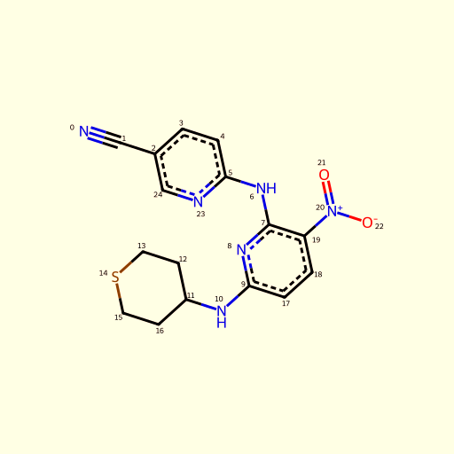 N#Cc1ccc(Nc2nc(NC3CCSCC3)ccc2[N+](=O)[O-])nc1